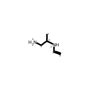 C=CNC(C)CN